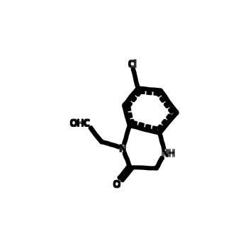 O=CCN1C(=O)CNc2ccc(Cl)cc21